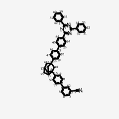 N#Cc1cccc(-c2ccc(C34CC5CC3CC(c3ccc(-c6ccc(-c7nc(-c8ccccc8)nc(-c8ccccc8)n7)cc6)cc3)(C5)C4)cc2)c1